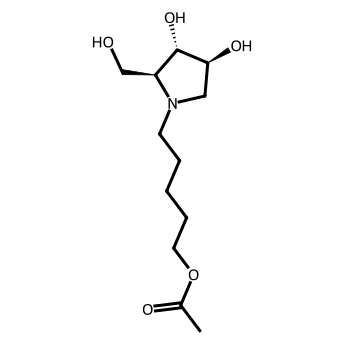 CC(=O)OCCCCCN1C[C@H](O)[C@@H](O)[C@@H]1CO